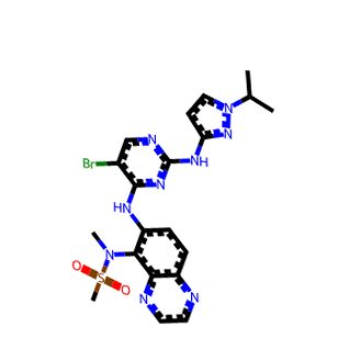 CC(C)n1ccc(Nc2ncc(Br)c(Nc3ccc4nccnc4c3N(C)S(C)(=O)=O)n2)n1